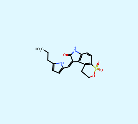 O=C(O)CCc1ccc(/C=C2\C(=O)Nc3ccc4c(c32)CCOS4(=O)=O)[nH]1